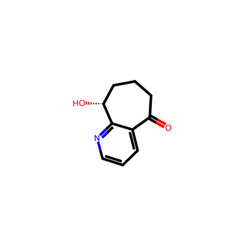 O=C1CCC[C@@H](O)c2ncccc21